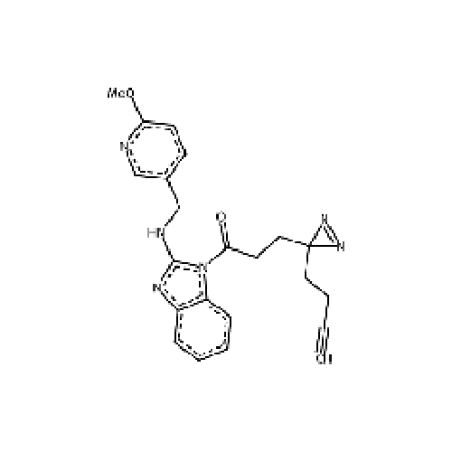 C#CCCC1(CCC(=O)n2c(NCc3ccc(OC)nc3)nc3ccccc32)N=N1